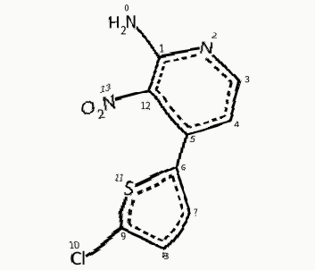 Nc1nccc(-c2ccc(Cl)s2)c1[N+](=O)[O-]